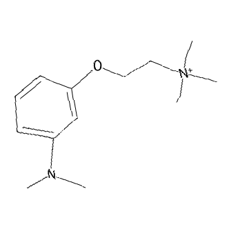 CN(C)c1cccc(OCC[N+](C)(C)C)c1